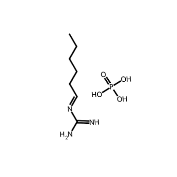 CCCCCC=NC(=N)N.O=P(O)(O)O